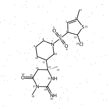 CC1=CC(S(=O)(=O)N2CCCC([C@]3(C)CC(=O)N(C)C(=N)N3)C2)C(Cl)S1